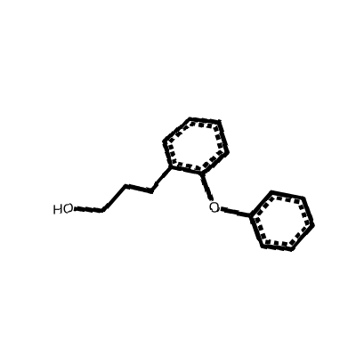 OCCCc1ccccc1Oc1ccccc1